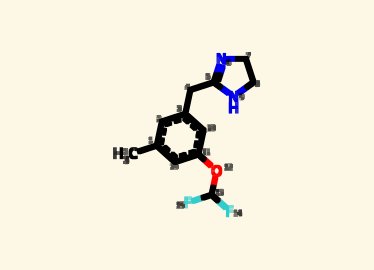 Cc1cc(CC2=NCCN2)cc(OC(F)F)c1